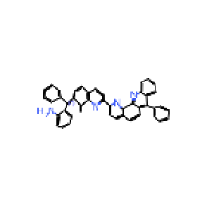 C=c1/c(=C(/c2ccccc2)c2ccccc2N)ccc2ccc(-c3ccc4ccc5c(-c6ccccc6)c6ccccc6nc5c4n3)nc12